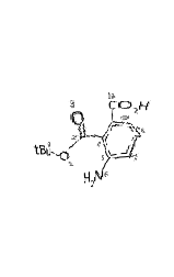 CC(C)(C)OC(=O)c1c(N)csc1C(=O)O